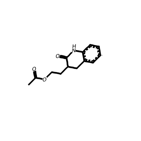 CC(=O)OCCC1Cc2c[c]ccc2NC1=O